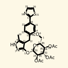 CC(=O)OC[C@H]1O[C@@H](Oc2n[nH]c(C)c2Cc2ccc(-c3nccs3)cc2)[C@H](OC(C)=O)[C@@H](OC(C)=O)[C@@H]1OC(C)=O